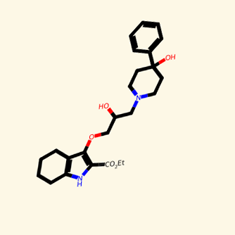 CCOC(=O)c1[nH]c2c(c1OCC(O)CN1CCC(O)(c3ccccc3)CC1)CCCC2